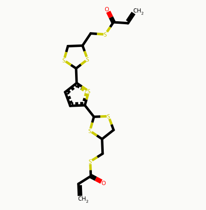 C=CC(=O)SCC1CSC(c2ccc(C3SCC(CSC(=O)C=C)S3)s2)S1